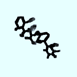 Cc1cccc(Cl)c1C(=O)N[C@@H](Cc1ccc(-c2c(C)n(C)c(=O)n(C)c2=O)cc1)C(=O)O